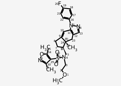 COCCN(C[C@H]1CCC2=Cc3c(cnn3-c3ccc(F)cc3)C[C@@]21C)S(=O)(=O)c1c(C)noc1C